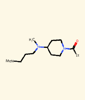 CCC(=O)N1CCC(N(C)CCCNC)CC1